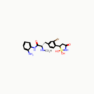 Nc1ccccc1NC(=O)[C@H](Cc1ccc(C2CC(=O)NS2(O)O)c(Br)c1)NC(=O)O